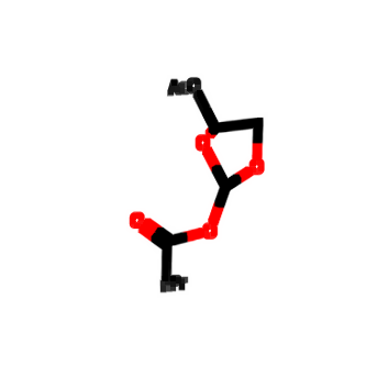 CCCC(=O)OC1OCC(OC(C)=O)O1